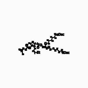 CC/C=C\CC1C(CC(=O)OCC(COCCCCCCCCCCCCCCCC)OCCCCCCCCCCCCCCCC)CCC1OC(=O)CCN(C)C